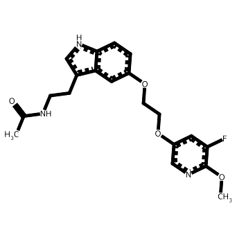 COc1ncc(OCCOc2ccc3[nH]cc(CCNC(C)=O)c3c2)cc1F